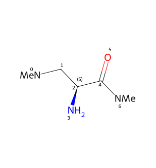 CNC[C@H](N)C(=O)NC